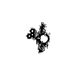 C[C@@H]1CC/C=C\[C@@H]2C[C@@]2(C(=O)NS(=O)(=O)C2(C)CC2)NC(=O)[C@@H]2C[C@@H](Oc3nc4c(c5ccccc35)CCCO4)CN2C(=O)[C@@H](NC(=O)OC(C)(C)C(F)F)[C@H](C)O1